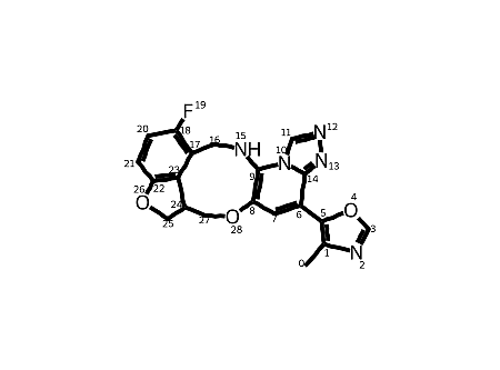 Cc1ncoc1-c1cc2c(n3cnnc13)NCc1c(F)ccc3c1C(CO3)CO2